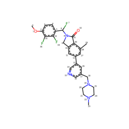 COc1ccc(C(F)N2Cc3cc(-c4cncc(CN5CCN(C)CC5)c4)cc(C)c3C2=O)c(F)c1F